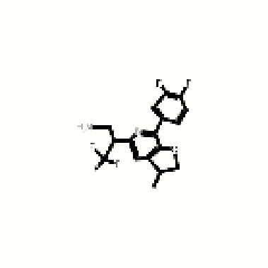 CC1COc2c1cc(C(CN)C(F)(F)F)nc2-c1ccc(F)c(F)c1